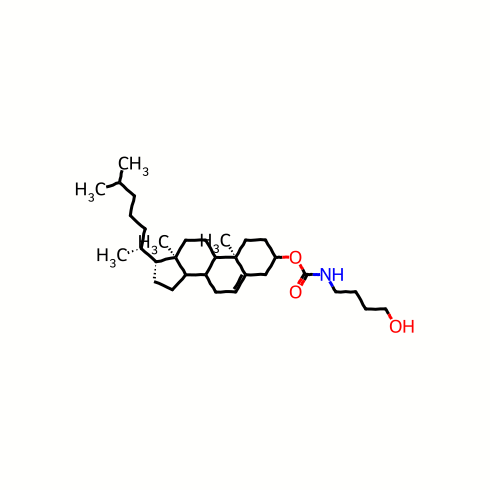 CC(C)CCC[C@@H](C)[C@H]1CCC2C3CC=C4CC(OC(=O)NCCCCO)CC[C@]4(C)C3CC[C@@]21C